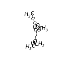 C=C(C)C(=O)OCCCCCCc1ccc(OC(=O)C2CCC(C3CCC(CCC)CC3)CC2)cc1OC